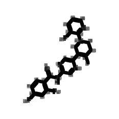 CC1=C(c2cnc(NC(=O)c3ccc(F)cc3F)cn2)CN(c2ncccc2F)CC1